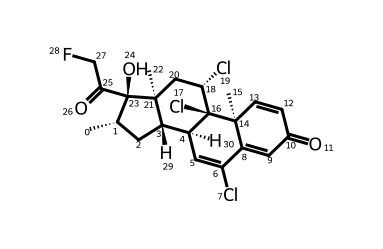 C[C@H]1C[C@H]2[C@@H]3C=C(Cl)C4=CC(=O)C=C[C@]4(C)[C@@]3(Cl)[C@@H](Cl)C[C@]2(C)[C@@]1(O)C(=O)CF